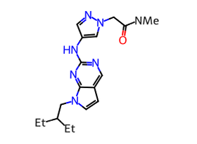 CCC(CC)Cn1ccc2cnc(Nc3cnn(CC(=O)NC)c3)nc21